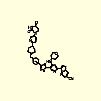 N#Cc1cnn2c(-c3cc(NC4CCOCC4)c(-c4nnc(C56CCC(CN7CCC(c8ccc([C@H]9CCC(=O)NC9=O)cn8)CC7)(CC5)CC6)s4)cn3)ccc2c1